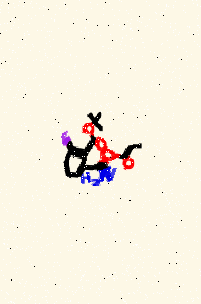 CCC(=O)OC(N)c1cccc(I)c1C(=O)OC(C)(C)C